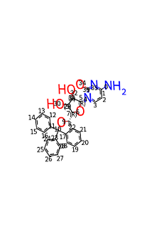 Nc1ccn([C@@H]2O[C@H](COC(c3ccccc3)(c3ccccc3)c3ccccc3)[C@@H](O)[C@H]2O)c(=O)n1